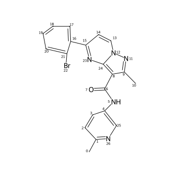 Cc1ccc(NC(=O)c2c(C)nn3ccc(-c4ccccc4Br)nc23)cn1